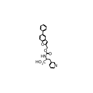 O=C(NC(Cc1cccnc1)C(=O)O)OCc1cc2cc(-c3ccccc3)ccc2o1